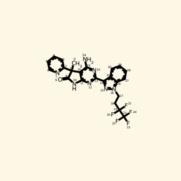 CC1(c2ccccn2)C(=O)Nc2nc(-c3nn(CCC(F)(F)C(F)(F)F)c4ccccc34)nc(N)c21